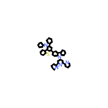 C1=Cc2c(sc3c(-c4ccc5c(c4)c4ccccc4n5-c4cc(-c5ccccn5)nc(-c5ccccn5)c4)cc4c5ccccc5n(-c5ccccc5)c4c23)CC1